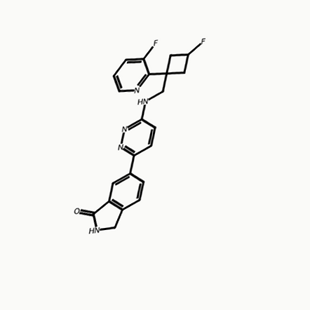 O=C1NCc2ccc(-c3ccc(NCC4(c5ncccc5F)CC(F)C4)nn3)cc21